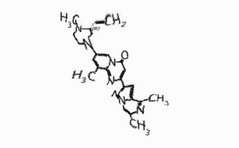 C=C[C@@H]1CN(c2cc(C)c3nc(-c4cc5c(C)nc(C)cn5n4)cc(=O)n3c2)CCN1C